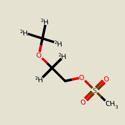 [2H]C([2H])([2H])OC([2H])([2H])COS(C)(=O)=O